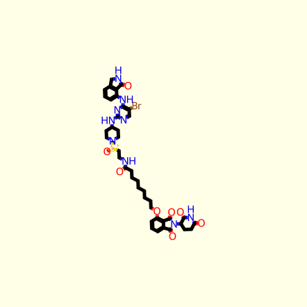 O=C(CCCCCCCCOc1cccc2c1C(=O)N(C1CCC(=O)NC1=O)C2=O)NCC[S+]([O-])N1CCC(Nc2ncc(Br)c(Nc3cccc4c3C(=O)NC4)n2)CC1